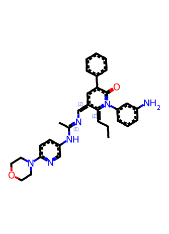 CC/C=c1/c(=C\N=C(/C)Nc2ccc(N3CCOCC3)nc2)cc(-c2ccccc2)c(=O)n1-c1cccc(N)c1